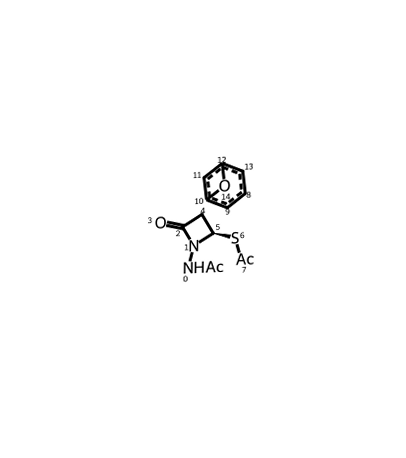 CC(=O)NN1C(=O)C[C@H]1SC(C)=O.c1cc2cc(c1)O2